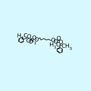 CC(C)(OC(=O)OOCCCCCCOOC(=O)OC(C)(C)c1ccccc1)c1ccccc1